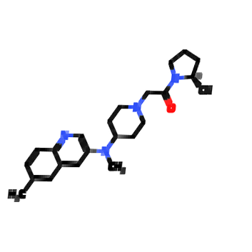 Cc1ccc2ncc(N(C)C3CCN(CC(=O)N4CCC[C@H]4C#N)CC3)cc2c1